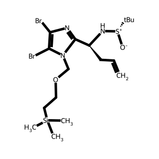 C=CC[C@H](N[S@@+]([O-])C(C)(C)C)c1nc(Br)c(Br)n1COCC[Si](C)(C)C